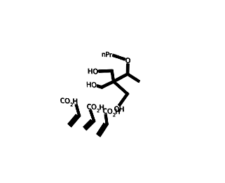 C=CC(=O)O.C=CC(=O)O.C=CC(=O)O.CCCOC(C)C(CO)(CO)CO